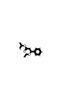 CCOC(CC(=O)OC(C)C)c1ccccc1